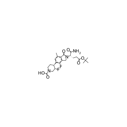 Cc1cc([C@@H]2CCN(C(=O)O)C[C@@H]2F)c(F)c2c1C(=O)N([C@@H](CCC(=O)OC(C)(C)C)C(N)=O)C2